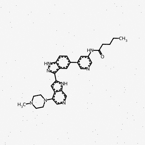 CCCCC(=O)Nc1cncc(-c2ccc3[nH]nc(-c4cc5c(N6CCN(C)CC6)cncc5[nH]4)c3c2)c1